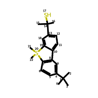 CC(C)(C)c1ccc2c(c1)-c1ccc(C(C)(C)S)cc1S2(C)C